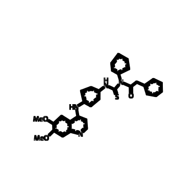 COc1cc2nccc(Nc3ccc(NC(=S)N(C(=O)Cc4ccccc4)c4ccccc4)cc3)c2cc1OC